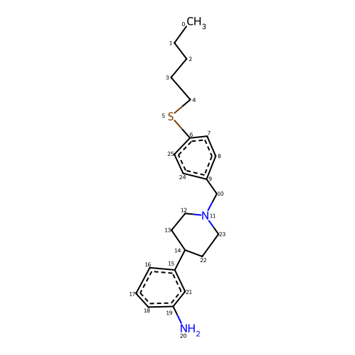 CCCCCSc1ccc(CN2CCC(c3cccc(N)c3)CC2)cc1